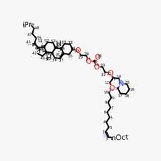 CCCCCCCC/C=C\CCCCCCCCOCC(CN1CCCCC1)OCCOC(=O)OCCO[C@H]1CC[C@@]2(C)C(=CC[C@H]3[C@@H]4CC[C@H]([C@H](C)CCCC(C)C)[C@@]4(C)CC[C@@H]32)C1